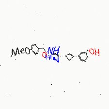 COc1ccc(CC(=O)Nc2cc([C@H]3C[C@@H](c4cccc(CO)c4)C3)n[nH]2)cc1